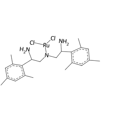 Cc1cc(C)c(C(N)C[N](CC(N)c2c(C)cc(C)cc2C)[Ru]([Cl])[Cl])c(C)c1